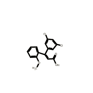 COc1ccccc1C(=CC(=O)O)c1cc(Cl)cc(Cl)c1